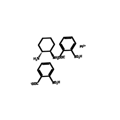 N[C@@H]1CCCC[C@H]1N.O=C([O-])c1ccccc1S(=O)(=O)O.O=C([O-])c1ccccc1S(=O)(=O)O.[Pt+2]